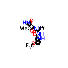 COC(=O)C(C[C@@H]1CCNC1=O)NC(=O)C(CC(C)C)NC(=O)c1cc2c(OC(F)(F)F)cccc2[nH]1